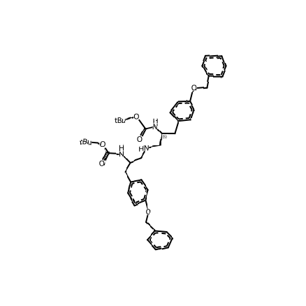 CC(C)(C)OC(=O)NC(CNC[C@H](Cc1ccc(OCc2ccccc2)cc1)NC(=O)OC(C)(C)C)Cc1ccc(OCc2ccccc2)cc1